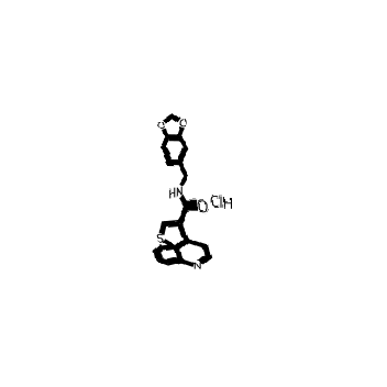 Cl.O=C(NCc1ccc2c(c1)OCO2)C1CSC23CC=CC=C2N=CCC13